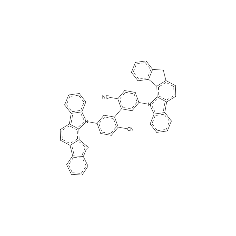 N#Cc1ccc(-n2c3ccccc3c3ccc4c(c32)-c2ccccc2C4)cc1-c1cc(-n2c3ccccc3c3ccc4c5ccccc5sc4c32)ccc1C#N